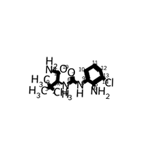 CC(C)(C)[C@H](NC(=O)Nc1cccc(Cl)c1N)C(N)=O